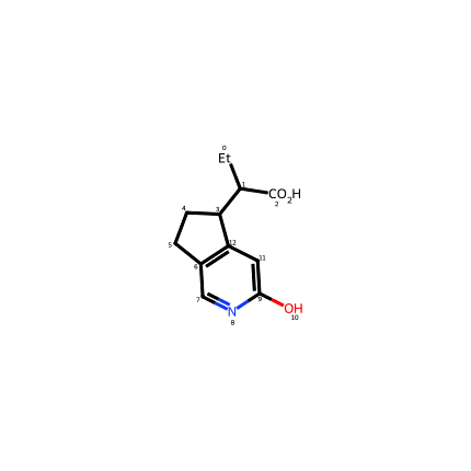 CCC(C(=O)O)C1CCc2cnc(O)cc21